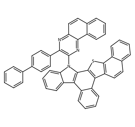 c1ccc(-c2ccc(-c3nc4ccc5ccccc5c4nc3-n3c4ccccc4c4c5ccccc5c5c6ccc7ccccc7c6sc5c43)cc2)cc1